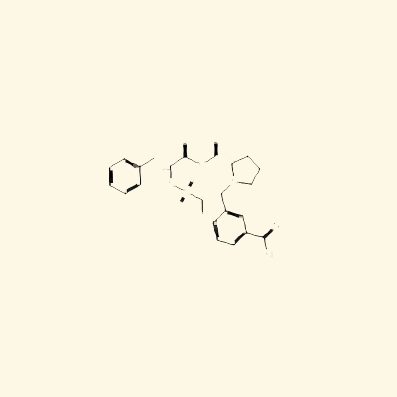 CCS(=O)(=O)N[C@H](Cc1ccccc1)C(=O)NC(=O)[C@@H]1CCCN1Cc1cccc(C(=N)N)c1